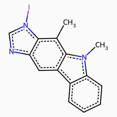 Cc1c2c(cc3c4ccccc4n(C)c13)ncn2I